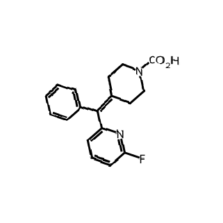 O=C(O)N1CCC(=C(c2ccccc2)c2cccc(F)n2)CC1